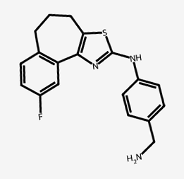 NCc1ccc(Nc2nc3c(s2)CCCc2ccc(F)cc2-3)cc1